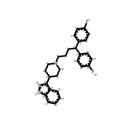 Fc1ccc(C(CCCN2CCC(c3noc4ccccc34)CC2)c2ccc(F)cc2)cc1